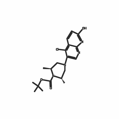 C[C@H]1CN(c2cnc3nc(O)ccc3c2Cl)C[C@H](C)N1C(=O)OC(C)(C)C